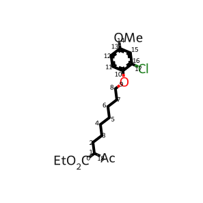 CCOC(=O)C(CCCCCCCOc1ccc(OC)cc1Cl)C(C)=O